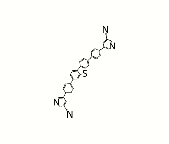 N#Cc1cncc(-c2ccc(-c3ccc4c(c3)sc3cc(-c5ccc(-c6cncc(C#N)c6)cc5)ccc34)cc2)c1